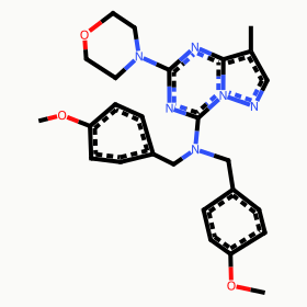 COc1ccc(CN(Cc2ccc(OC)cc2)c2nc(N3CCOCC3)nc3c(C)cnn23)cc1